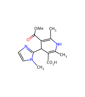 COC(=O)C1=C(C)NC(C)=C(C(=O)O)C1c1nccn1C